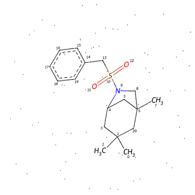 CC1(C)CC2CC(C)(CN2S(=O)(=O)Cc2ccccc2)C1